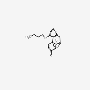 CCCCOc1cccc2c1[C@@]13C=CC(=O)C[C@@H]1N(CC3)C2